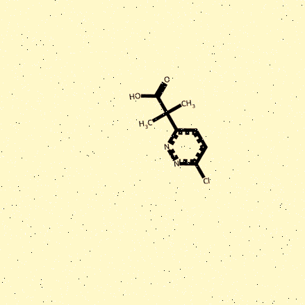 CC(C)(C(=O)O)c1ccc(Cl)nn1